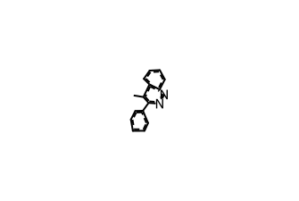 Cc1c(-c2ccccc2)nnc2ccccc12